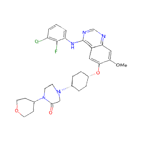 COc1cc2ncnc(Nc3cccc(Cl)c3F)c2cc1O[C@H]1CC[C@@H](N2CCN(C3CCOCC3)C(=O)C2)CC1